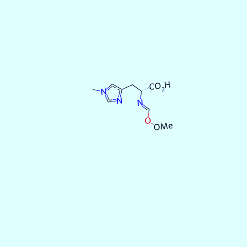 COO/C=N/[C@H](Cc1cn(C)cn1)C(=O)O